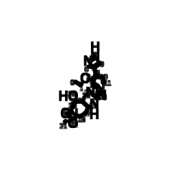 CCOc1c(-c2cn[nH]c2)ccn2nc(N[C@H]3CCN(S(C)(=O)=O)C[C@H](O)[C@H]3C)nc12